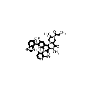 C=CC(=O)N1CC2C(=O)N(C)c3c(c4cc(F)c(-c5c(C)ccc6[nH]cnc56)nc4n(-c4c(C)ccnc4C(C)C)c3=O)N2CC1C